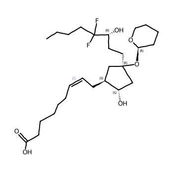 CCCCC(F)(F)[C@H](O)CC[C@@]1(O[C@@H]2CCCCO2)C[C@H](C/C=C\CCCCCC(=O)O)[C@@H](O)C1